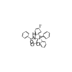 O=C(NC(=C(Cl)Cl)[P+](c1ccccc1)(c1ccccc1)c1ccccc1)c1ccccc1.[I-]